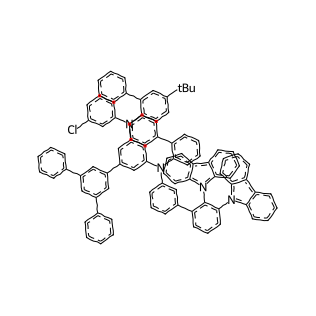 CC(C)(C)c1ccc(N(c2cccc(Cl)c2)c2cc(-c3cc(-c4ccccc4)cc(-c4ccccc4)c3)cc(N(c3cccc(-c4cccc(-n5c6ccccc6c6ccccc65)c4-n4c5ccccc5c5ccccc54)c3)c3ccccc3-c3ccccc3)c2)c(-c2ccccc2)c1